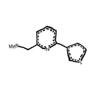 CNCc1cccc(-c2ccsc2)n1